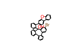 OC1(c2ccccc2-c2ccc3c(c2)oc2ccccc23)c2ccccc2-c2ccccc2-c2ccc(Br)cc21